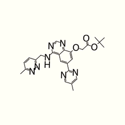 Cc1cnc(-c2cc(OCC(=O)OC(C)(C)C)c3ncnc(NCc4ccc(C)nn4)c3c2)nc1